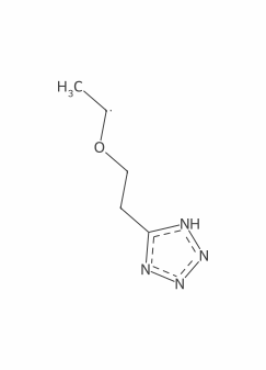 C[CH]OCCc1nnn[nH]1